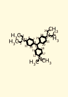 CCN(CC)c1ccc(C(c2ccc(N(C)C)cc2)c2ccc(N(CC)CC)cc2)cc1